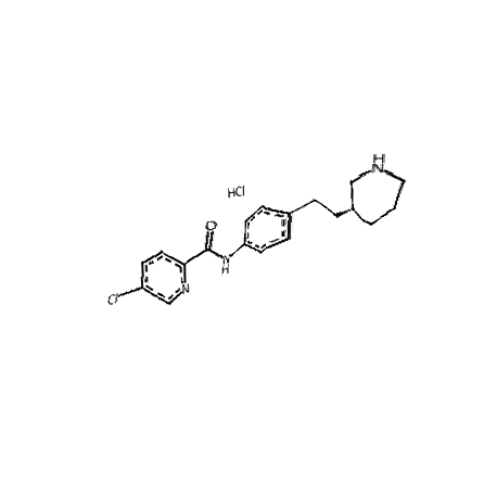 Cl.O=C(Nc1ccc(CC[C@@H]2CCCNC2)cc1)c1ccc(Cl)cn1